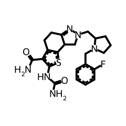 NC(=O)Nc1sc2c(c1C(N)=O)CCC1=NN(CC3CCCN3Cc3ccccc3F)CC12